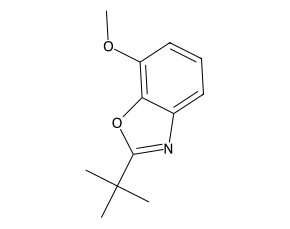 COc1cccc2nc(C(C)(C)C)oc12